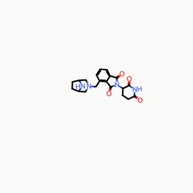 O=C1CCC(N2C(=O)c3cccc(CN4CC5CCC(C4)N5)c3C2=O)C(=O)N1